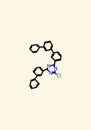 Clc1nc(-c2cccc(-c3ccccc3)c2)nc(-c2cccc(-c3cccc(-c4ccccc4)c3)c2)n1